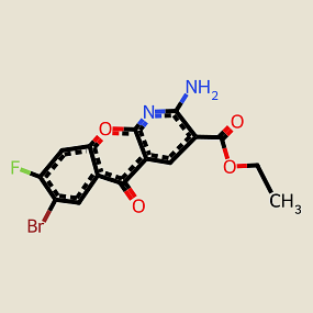 CCOC(=O)c1cc2c(=O)c3cc(Br)c(F)cc3oc2nc1N